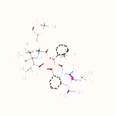 CC(C)(C)OC(=O)N(C(=N)N)c1cccc(C(=O)OC(OC(=O)C(C)(NC(C(=O)O)(C(C(=O)O)C(C)(C)C)C(C)(C)C)OCC(C=O)OC(C)(C)C)c2ccccc2)c1N(C(=N)N)C(=O)OC(C)(C)C